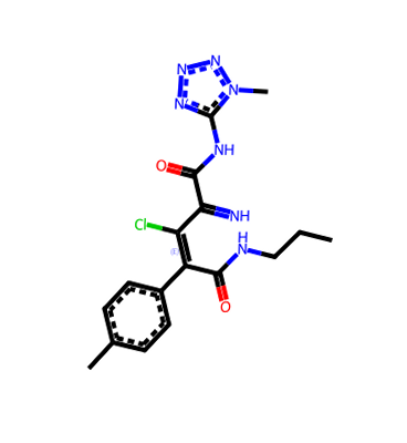 CCCNC(=O)/C(=C(/Cl)C(=N)C(=O)Nc1nnnn1C)c1ccc(C)cc1